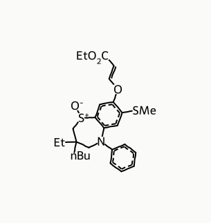 CCCCC1(CC)CN(c2ccccc2)c2cc(SC)c(O/C=C/C(=O)OCC)cc2[S+]([O-])C1